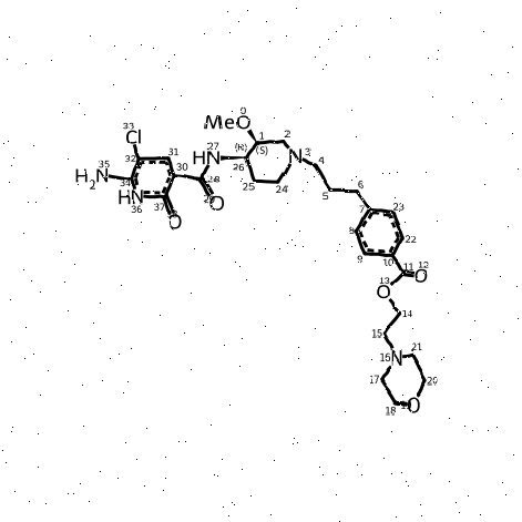 CO[C@H]1CN(CCCc2ccc(C(=O)OCCN3CCOCC3)cc2)CC[C@H]1NC(=O)c1cc(Cl)c(N)[nH]c1=O